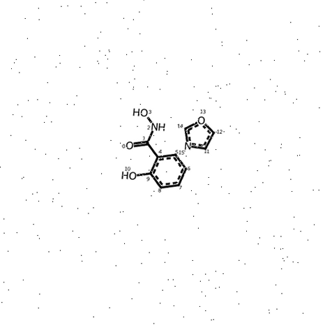 O=C(NO)c1ccccc1O.c1cocn1